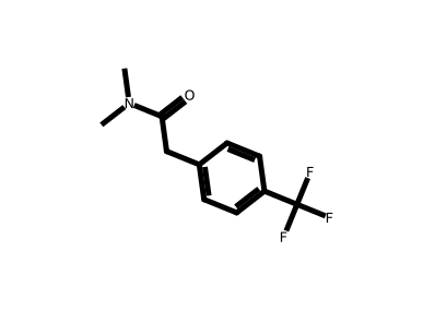 CN(C)C(=O)Cc1ccc(C(F)(F)F)cc1